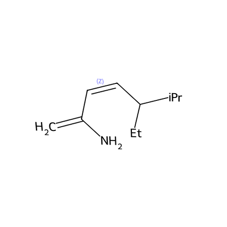 C=C(N)/C=C\C(CC)C(C)C